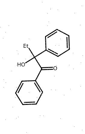 CCC(O)(C(=O)c1ccccc1)c1ccccc1